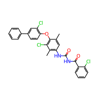 Cc1cc(NC(=O)NC(=O)c2ccccc2Cl)c(C)c(Cl)c1Oc1ccc(-c2ccccc2)cc1Cl